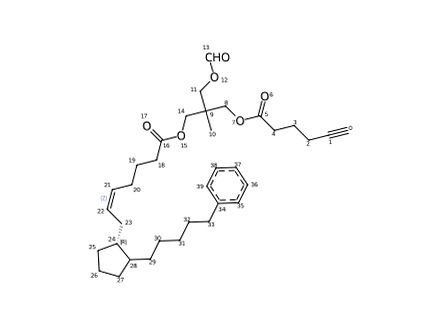 C#CCCCC(=O)OCC(C)(COC=O)COC(=O)CCC/C=C\C[C@H]1CCCC1CCCCCc1ccccc1